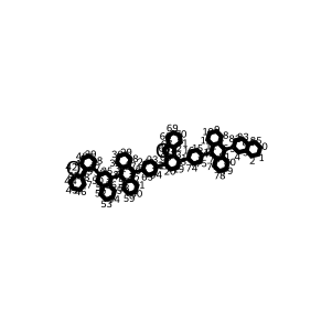 c1ccc2cc(-c3c4ccccc4c(-c4ccc(-c5ccc(-c6ccc(-c7c8ccccc8c(-c8cc(-c9cccc%10oc%11ccccc%11c9%10)cc9ccccc89)c8ccccc78)cc6)c6oc7ccccc7c56)cc4)c4ccccc34)ccc2c1